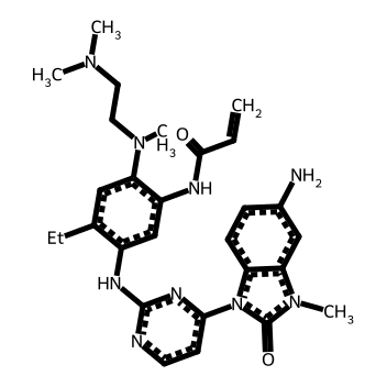 C=CC(=O)Nc1cc(Nc2nccc(-n3c(=O)n(C)c4cc(N)ccc43)n2)c(CC)cc1N(C)CCN(C)C